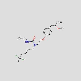 CCOC(Cc1ccc(OCCN(CCCCC(C)(F)F)C(=O)NCC(C)(C)C)cc1)C(=O)O